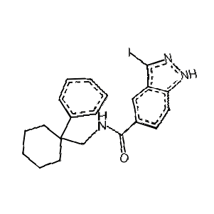 O=C(NCC1(c2ccccc2)CCCCC1)c1ccc2[nH]nc(I)c2c1